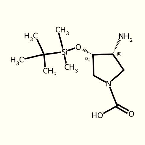 CC(C)(C)[Si](C)(C)O[C@H]1CN(C(=O)O)C[C@H]1N